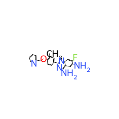 Cc1cc(-c2nc(N)c3cc(N)c(F)cc3n2)ccc1OCc1ccccn1